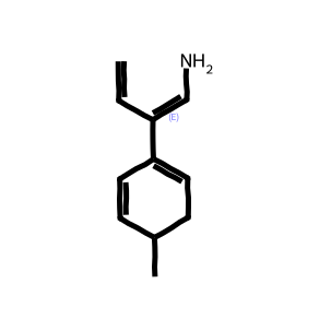 C=C/C(=C\N)C1=CCC(C)C=C1